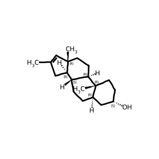 CC1=C[C@]2(C)CC[C@@H]3[C@H](CC[C@@H]4C[C@@H](O)CC[C@]43C)[C@H]2C1